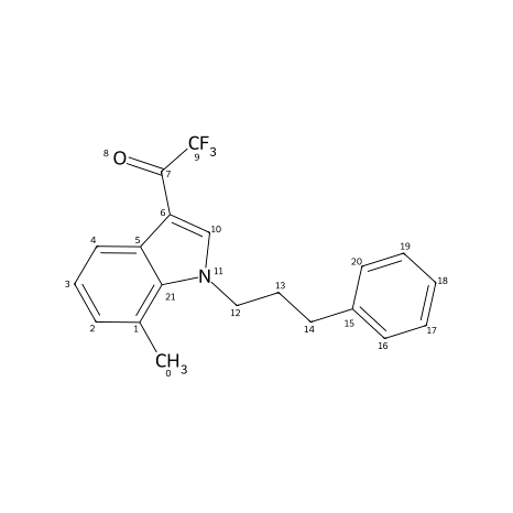 Cc1cccc2c(C(=O)C(F)(F)F)cn(CCCc3ccccc3)c12